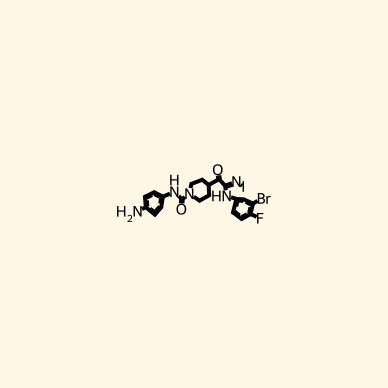 Nc1ccc(NC(=O)N2CCC(C(=O)/C(=N/I)Nc3ccc(F)c(Br)c3)CC2)cc1